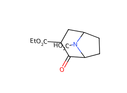 CCOC(=O)C1CC2CCC(C1=O)N2C(=O)O